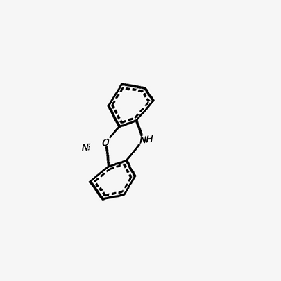 [N].c1ccc2c(c1)Nc1ccccc1O2